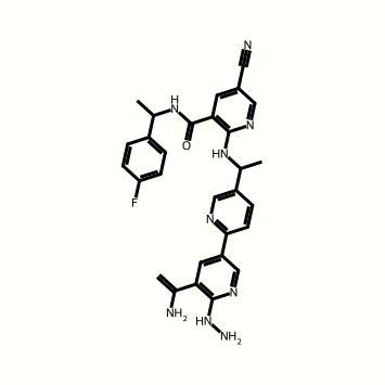 C=C(N)c1cc(-c2ccc(C(C)Nc3ncc(C#N)cc3C(=O)NC(C)c3ccc(F)cc3)cn2)cnc1NN